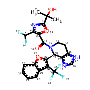 CC(C)(O)c1nc(C(F)F)c(C(=O)N2CCc3[nH]cnc3[C@H]2c2oc3ccccc3c2C(F)(F)F)o1